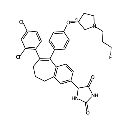 O=C1NC(=O)C(c2ccc3c(c2)CCCC(c2ccc(Cl)cc2Cl)=C3c2ccc(O[C@H]3CCN(CCCF)C3)cc2)N1